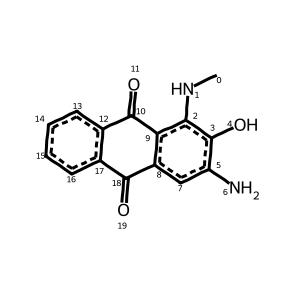 CNc1c(O)c(N)cc2c1C(=O)c1ccccc1C2=O